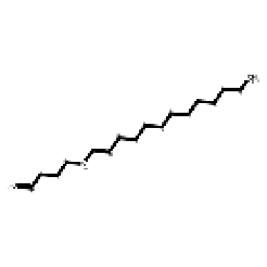 CCCCCCCCCCCCCSCCC[C]=O